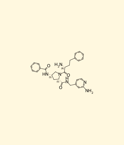 Nc1cc(CNC(=O)[C@@H]2C[C@H](NC(=O)c3ccccc3)CN2C(=O)[C@H](N)CCc2ccccc2)ccn1